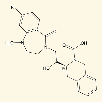 CN1CCN(CC(O)[C@@H]2Cc3ccccc3CN2C(=O)O)C(=O)c2ccc(Br)cc21